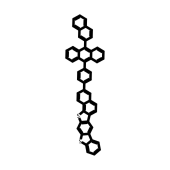 c1ccc2cc(-c3c4ccccc4c(-c4ccc(-c5ccc6c(ccc7c8cc9c(cc8sc67)sc6ccccc69)c5)cc4)c4ccccc34)ccc2c1